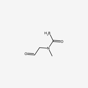 BC(=O)N(C)CC=O